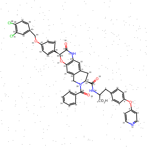 O=C(O)C(Cc1ccc(Oc2ccncc2)cc1)NC(=O)[C@@H]1Cc2cc3c(cc2CN1C(=O)c1ccccc1)O[C@@H](c1ccc(OCc2ccc(Cl)c(Cl)c2)cc1)C(=O)N3